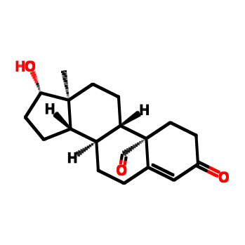 C[C@]12CC[C@H]3[C@@H](CCC4=CC(=O)CC[C@@]43C=O)[C@@H]1CC[C@@H]2O